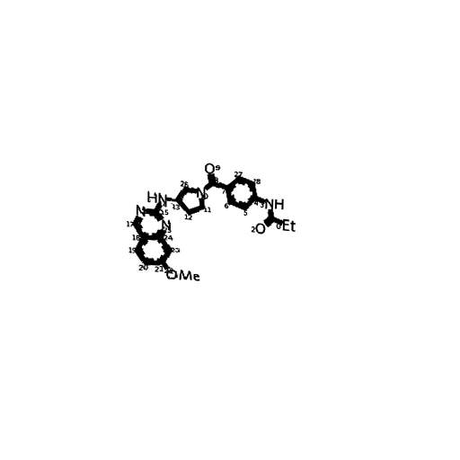 CCC(=O)Nc1ccc(C(=O)N2CC[C@@H](Nc3ncc4ccc(OC)cc4n3)C2)cc1